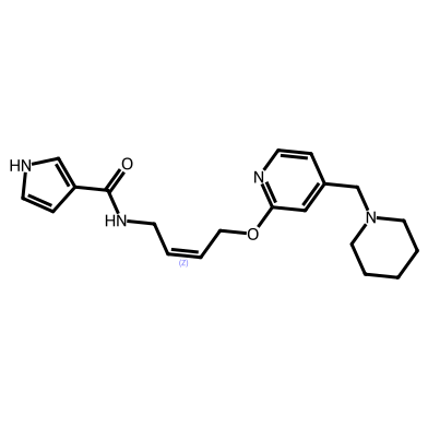 O=C(NC/C=C\COc1cc(CN2CCCCC2)ccn1)c1cc[nH]c1